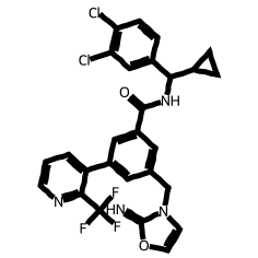 N=c1occn1Cc1cc(C(=O)NC(c2ccc(Cl)c(Cl)c2)C2CC2)cc(-c2cccnc2C(F)(F)F)c1